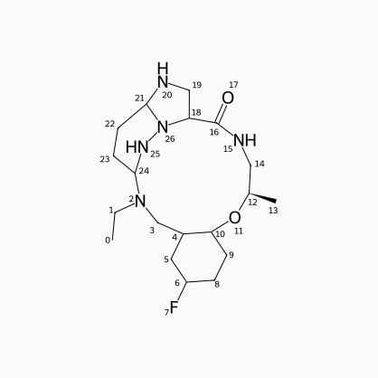 CCN1CC2CC(F)CCC2O[C@H](C)CNC(=O)C2CNC3CCC1NN32